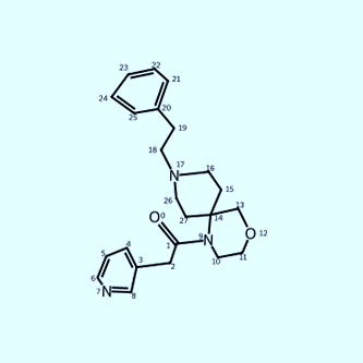 O=C(Cc1cccnc1)N1CCOCC12CCN(CCc1ccccc1)CC2